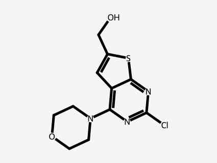 OCc1cc2c(N3CCOCC3)nc(Cl)nc2s1